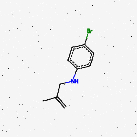 C=C(C)CNc1ccc(Br)cc1